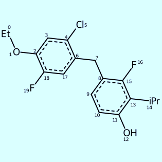 CCOc1cc(Cl)c(Cc2ccc(O)c(C(C)C)c2F)cc1F